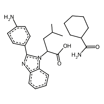 CC(C)CC(C(=O)O)n1c(-c2ccc(N)cc2)nc2ccccc21.NC(=O)C1CCCCC1